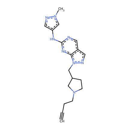 C#CCCN1CCC(Cn2ncc3cnc(Nc4cnn(C)c4)nc32)C1